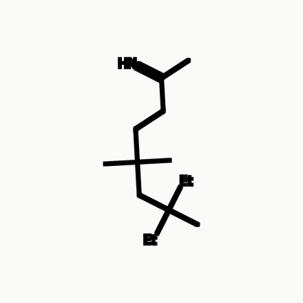 CCC(C)(CC)CC(C)(C)CCC(C)=N